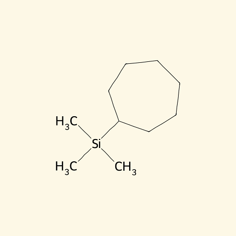 C[Si](C)(C)C1CCCCCC1